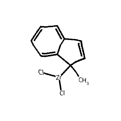 C[C]1([Zr]([Cl])[Cl])C=Cc2ccccc21